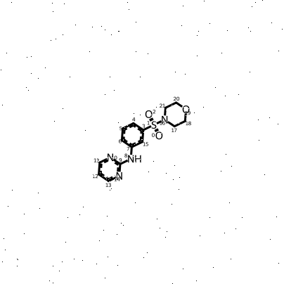 O=S(=O)(c1cccc(Nc2ncccn2)c1)N1CCOCC1